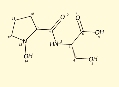 O=C(N[C@@H](CO)C(=O)O)C1CCCN1O